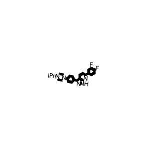 CC(C)N1CCN(c2ccc(-c3n[nH]c4nc(-c5ccc(F)c(F)c5)ccc34)cc2)CC1